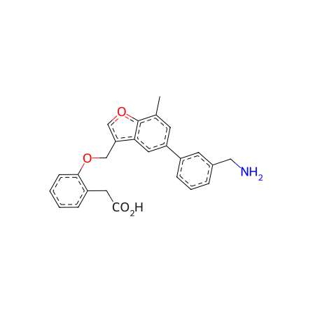 Cc1cc(-c2cccc(CN)c2)cc2c(COc3ccccc3CC(=O)O)coc12